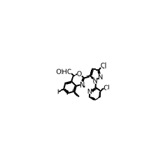 Cc1cc(I)cc2c1N=C(c1cc(Cl)nn1-c1ncccc1Cl)OC2C=O